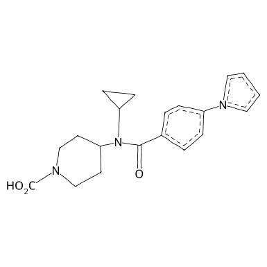 O=C(O)N1CCC(N(C(=O)c2ccc(-n3cccc3)cc2)C2CC2)CC1